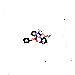 CCCC(C(=O)Nc1c(C)cc(F)cc1C(=O)OCC)[N+]1(CC(=O)OCc2ccccc2)CCCC1